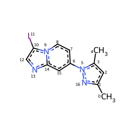 Cc1cc(C)n(-c2ccn3c(I)cnc3c2)n1